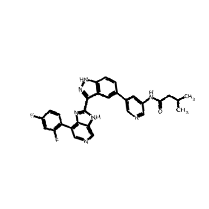 CC(C)CC(=O)Nc1cncc(-c2ccc3[nH]nc(-c4nc5c(-c6ccc(F)cc6F)cncc5[nH]4)c3c2)c1